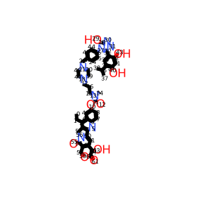 CCc1c2c(nc3ccc(OC(=O)N(C)CCCN4CCN(Cc5ccc(-n6c(O)nnc6-c6cc(C(C)C)c(O)cc6O)cc5)CC4)cc13)-c1cc3c(c(=O)n1C2)COC(=O)[C@H]3O